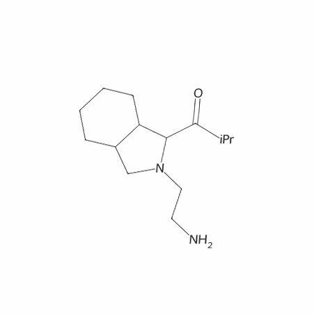 CC(C)C(=O)C1C2CCCCC2CN1CCN